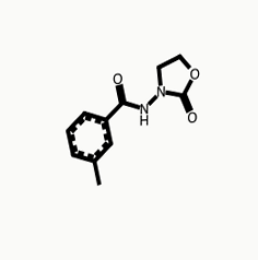 Cc1cccc(C(=O)NN2CCOC2=O)c1